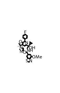 COc1cc(C(=O)NC[C@](O)(c2cc3c(c(-c4ccc(F)cc4)n2)OC[C@]3(C)n2ccnc2)C2CC2)cc2scnc12